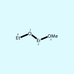 CC[O][Er][O]C